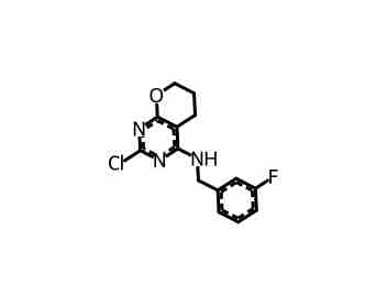 Fc1cccc(CNc2nc(Cl)nc3c2CCCO3)c1